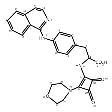 O=C(O)C(Cc1ccc(Nc2nccc3ccccc23)cc1)Nc1c(N2CCOCC2)c(=O)c1=O